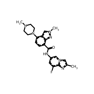 Cc1cn2cc(NC(=O)c3ccc(N4CCN(C)CC4)c4cn(C)nc34)cc(F)c2n1